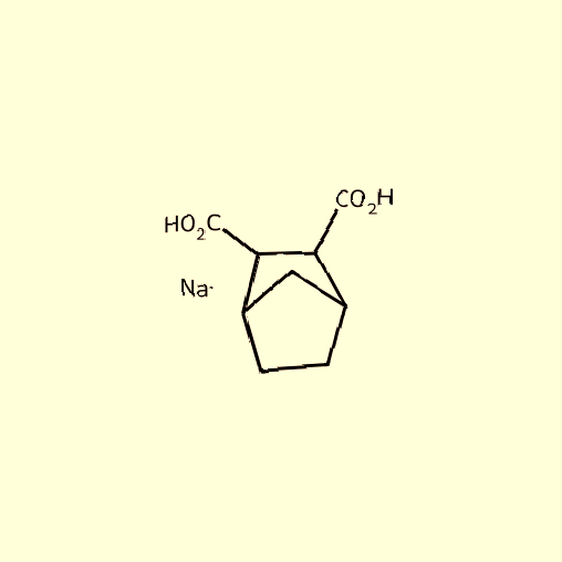 O=C(O)C1C2CCC(C2)C1C(=O)O.[Na]